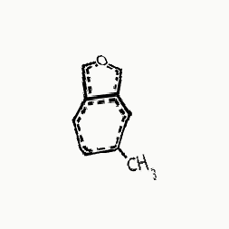 Cc1ccc2cocc2c1